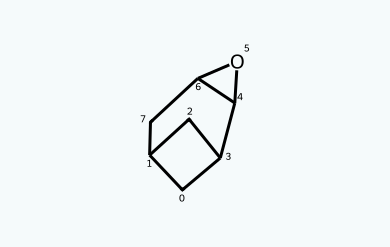 C1C2CC1C1OC1C2